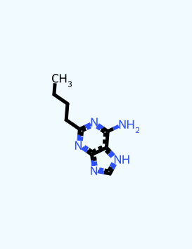 CCCCc1nc(N)c2[nH]cnc2n1